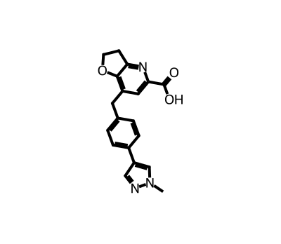 Cn1cc(-c2ccc(Cc3cc(C(=O)O)nc4c3OCC4)cc2)cn1